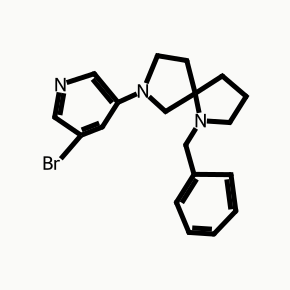 Brc1cncc(N2CCC3(CCCN3Cc3ccccc3)C2)c1